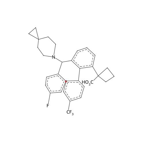 O=C(O)C1(c2cccc(C(c3ccc(F)cc3)N3CCC4(CC3)CC4)c2-c2ccc(C(F)(F)F)cc2)CCC1